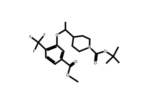 COC(=O)c1ccc(C(F)(F)F)c(OC(C)C2CCN(C(=O)OC(C)(C)C)CC2)c1